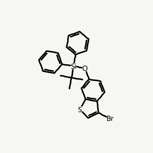 CC(C)(C)[Si](Oc1ccc2c(Br)csc2c1)(c1ccccc1)c1ccccc1